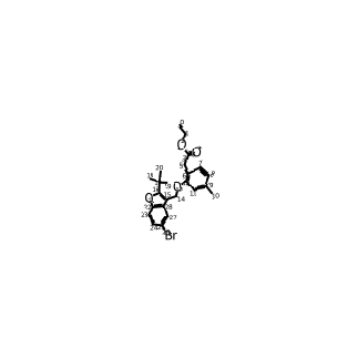 CCOC(=O)Cc1ccc(C)cc1OCc1c(C(C)(C)C)oc2ccc(Br)cc12